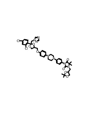 CC1(C)OCC(CN2C(=O)N(c3ccc(N4CCN(c5ccc(OCC6COC(Cn7cncn7)(c7ccc(Cl)cc7Cl)O6)cc5)CC4)cc3)C(=O)C2(C)C)O1